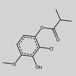 COc1ccc(OC(=O)C(C)C)c(Cl)c1O